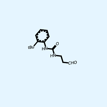 CC(C)(C)c1ccccc1NC(=O)NCCC=O